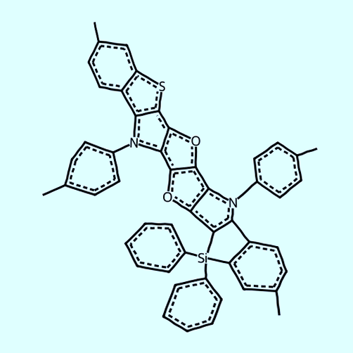 Cc1ccc(-n2c3c(c4oc5c(oc6c7sc8cc(C)ccc8c7n(-c7ccc(C)cc7)c56)c42)[Si](c2ccccc2)(c2ccccc2)c2cc(C)ccc2-3)cc1